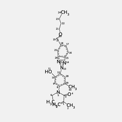 C=C(C)C(=O)N(CC)c1cc(O)c(-n2n3c4ccc(SOCCCC)cc4n23)cc1C